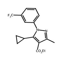 CCOC(=O)c1c(C)nn(-c2cccc(C(F)(F)F)c2)c1C1CC1